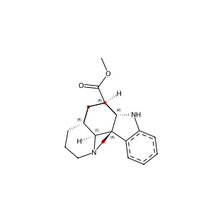 COC(=O)[C@@H]1C[C@@]23CCCN4CC[C@@]5(c6ccccc6N[C@]15CC2)[C@@H]43